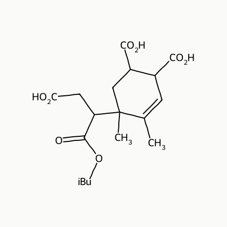 CCC(C)OC(=O)C(CC(=O)O)C1(C)CC(C(=O)O)C(C(=O)O)C=C1C